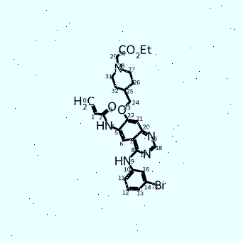 C=CC(=O)Nc1cc2c(Nc3cccc(Br)c3)ncnc2cc1OCC1CCN(CC(=O)OCC)CC1